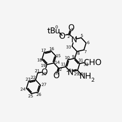 CC(C)(C)OC(=O)N1CCCC(c2cc(C(=O)c3ccccc3OCc3ccccc3)nc(N)c2C=O)C1